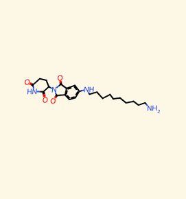 NCCCCCCCCCCNc1ccc2c(c1)C(=O)N(C1CCC(=O)NC1=O)C2=O